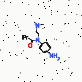 CC(C)C(=O)N(CCN(C)C)c1ccc(N)cc1